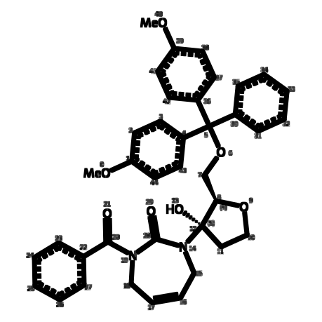 COc1ccc(C(OC[C@H]2OCC[C@@]2(O)N2CC=CCN(C(=O)c3ccccc3)C2=O)(c2ccccc2)c2ccc(OC)cc2)cc1